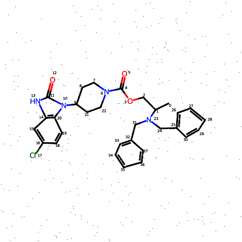 CC(COC(=O)N1CCC(n2c(=O)[nH]c3cc(Cl)ccc32)CC1)N(Cc1ccccc1)Cc1ccccc1